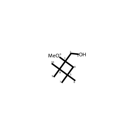 COC1(CO)CC(C)(C)C1(C)C